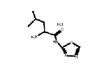 CC(C)CC(N)C(=O)Nc1nncs1.Cl